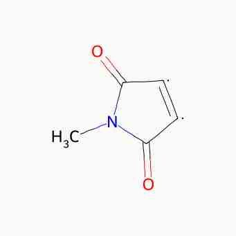 CN1C(=O)[C]=[C]C1=O